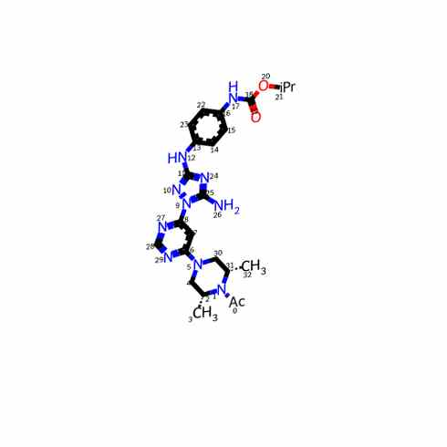 CC(=O)N1[C@H](C)CN(c2cc(-n3nc(Nc4ccc(NC(=O)OC(C)C)cc4)nc3N)ncn2)C[C@@H]1C